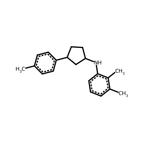 Cc1ccc(C2CCC(Nc3cccc(C)c3C)C2)cc1